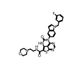 O=C(NCCN1CCOCC1)c1sc2ncnc3c2c1NC(=O)N3c1ccc2c(ccn2Cc2cccc(F)c2)c1